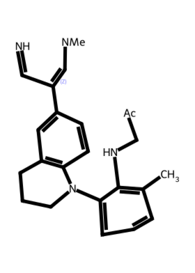 CN/C=C(\C=N)c1ccc2c(c1)CCCN2c1cccc(C)c1NCC(C)=O